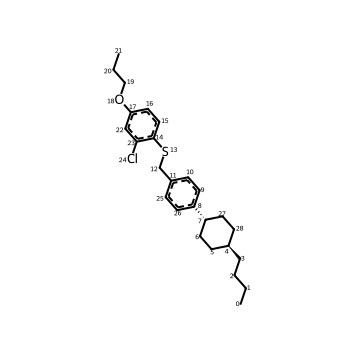 CCCC[C@H]1CC[C@H](c2ccc(CSc3ccc(OCCC)cc3Cl)cc2)CC1